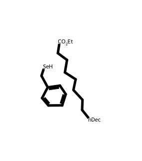 CCCCCCCCCCCCCCCCCC(=O)OCC.[SeH]Cc1ccccc1